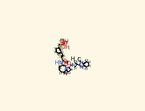 Cn1c(C2CN(C(=O)[C@@H]3CC[C@@H]4CCCC[C@H](NC(=O)c5cc6cc(CP(=O)(O)O)ccc6s5)C(=O)N43)C2)nc2ccccc21